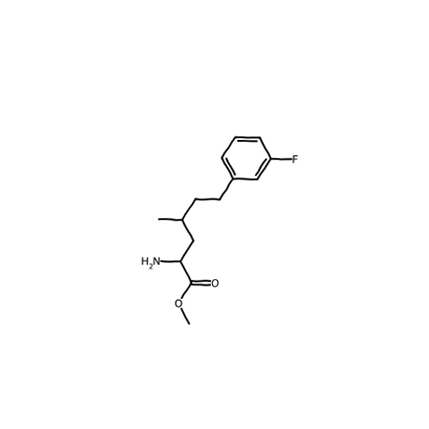 COC(=O)C(N)CC(C)CCc1cccc(F)c1